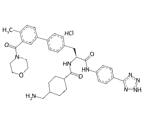 Cc1ccc(-c2ccc(C[C@H](NC(=O)C3CCC(CN)CC3)C(=O)Nc3ccc(-c4nn[nH]n4)cc3)cc2)cc1C(=O)N1CCOCC1.Cl